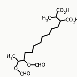 CC(OC=O)C(CCCCCCCCC(C(=O)O)C(C)C(=O)O)OC=O